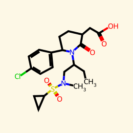 CCC(CN(C)S(=O)(=O)C1CC1)N1C(=O)C(CC(=O)O)CCC1c1ccc(Cl)cc1